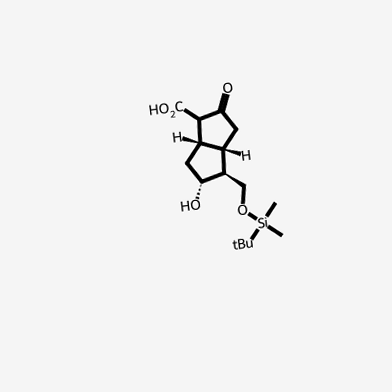 CC(C)(C)[Si](C)(C)OC[C@@H]1[C@H]2CC(=O)C(C(=O)O)[C@H]2C[C@H]1O